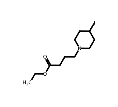 CCOC(=O)CCCN1CCC(I)CC1